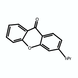 CCCc1ccc2c(=O)c3ccccc3oc2c1